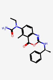 CCN(C(N)=O)c1ccc2nc(N[C@@H](C)c3ccccc3)oc(=O)c2c1C